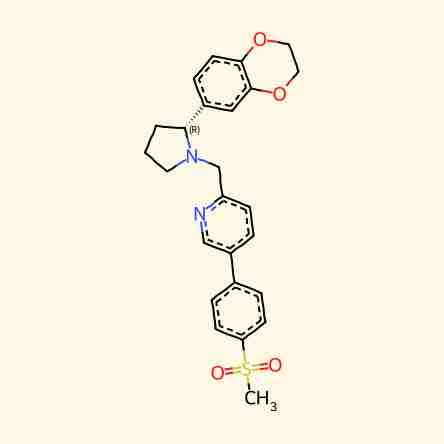 CS(=O)(=O)c1ccc(-c2ccc(CN3CCC[C@@H]3c3ccc4c(c3)OCCO4)nc2)cc1